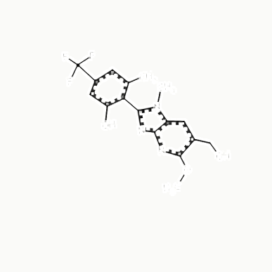 COc1nc2nc(-c3c(C)cc(C(F)(F)F)cc3O)n(C)c2cc1CO